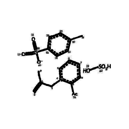 C=C(C)C[n+]1ccccc1C(C)=O.Cc1ccc(S(=O)(=O)[O-])cc1.O=S(=O)(O)O